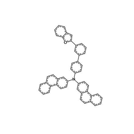 c1cc(-c2ccc(N(c3ccc4c(ccc5ccccc54)c3)c3ccc4c(ccc5ccccc54)c3)cc2)cc(-c2cc3ccccc3o2)c1